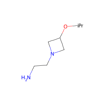 CC(C)OC1CN(CCN)C1